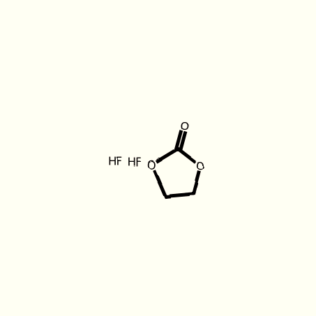 F.F.O=C1OCCO1